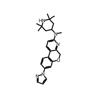 CN(c1ccc2c(n1)COc1cc(-n3cccn3)ccc1-2)C1CC(C)(C)NC(C)(C)C1